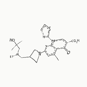 CCN(CC1CN(c2cc(C)c3c(=O)c(C(=O)O)cn(-c4nccs4)c3n2)C1)CC(C)(C)O